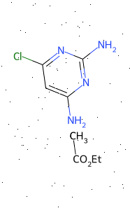 CCOC(C)=O.Nc1cc(Cl)nc(N)n1